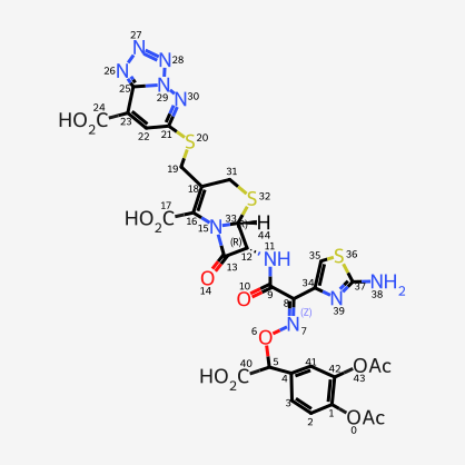 CC(=O)Oc1ccc(C(O/N=C(\C(=O)N[C@@H]2C(=O)N3C(C(=O)O)=C(CSc4cc(C(=O)O)c5nnnn5n4)CS[C@H]23)c2csc(N)n2)C(=O)O)cc1OC(C)=O